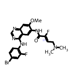 COc1cc2ncnc(Nc3ccc(Br)cc3F)c2cc1NC(=O)/C(F)=C/CN(C)C